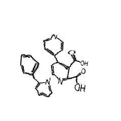 O=C(O)c1nccc(-c2ccncc2)c1C(=O)O.c1ccc(-c2ccccn2)cc1